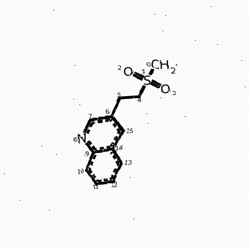 [CH2]S(=O)(=O)CCc1cnc2ccccc2c1